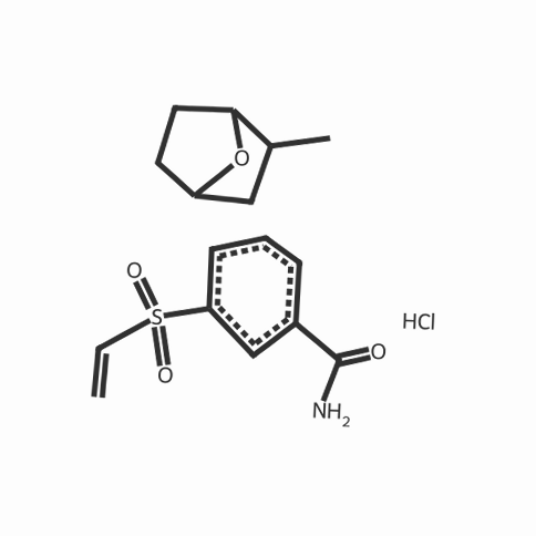 C=CS(=O)(=O)c1cccc(C(N)=O)c1.CC1CC2CCC1O2.Cl